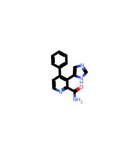 NC(=O)c1nccc(-c2ccccc2)c1-c1cnc[nH]1